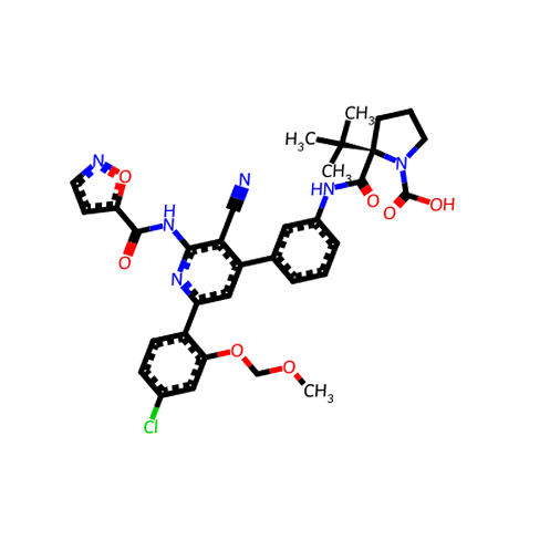 COCOc1cc(Cl)ccc1-c1cc(-c2cccc(NC(=O)[C@]3(C(C)(C)C)CCCN3C(=O)O)c2)c(C#N)c(NC(=O)c2ccno2)n1